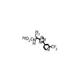 C[C@@H](NC(=O)O)c1nc(-c2ccnc(C(F)(F)F)c2)no1